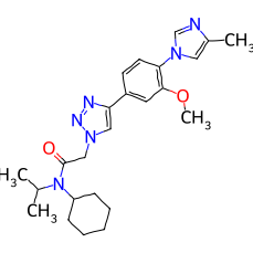 COc1cc(-c2cn(CC(=O)N(C(C)C)C3CCCCC3)nn2)ccc1-n1cnc(C)c1